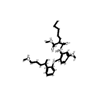 CCCCCC(C(=O)Nc1cc(OC)ccc1Oc1ccccc1C(C)CCCOC)C(=O)OC